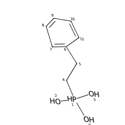 O[PH](O)(O)CCc1ccccc1